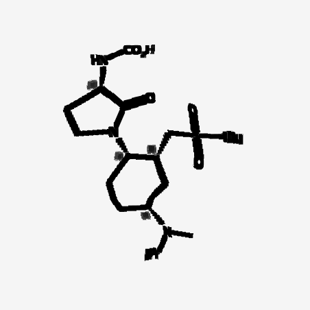 CC(C)N(C)[C@@H]1CC[C@H](N2CC[C@H](NC(=O)O)C2=O)[C@H](CS(=O)(=O)C(C)(C)C)C1